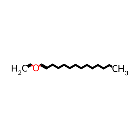 C=CO/C=C/CCCCCCCCCCCC